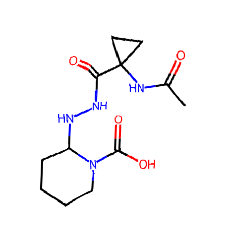 CC(=O)NC1(C(=O)NNC2CCCCN2C(=O)O)CC1